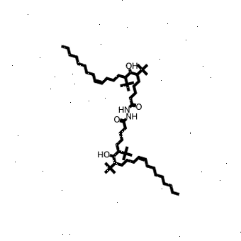 CCCCCCCC/C=C\CCCC(C(O)C(CCCCC(=O)NNC(=O)CCCCC(C(O)C(CCC/C=C\CCCCCCCC)C(C)(C)C)C(C)(C)C)C(C)(C)C)C(C)(C)C